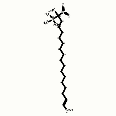 CCCCCCCCC=CCCCCCCCCCCCCCCC(CCC)(P(=O)=O)[N+](C)(C)C